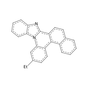 CCc1ccc2c3c4ccccc4ccc3c3nc4ccccc4n3c2c1